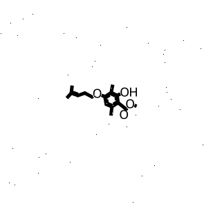 COC(=O)c1c(C)cc(OCCC=C(C)C)c(C)c1O